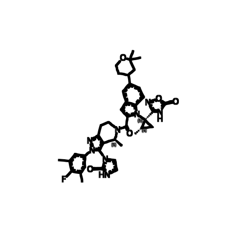 Cc1cc(-n2nc3c(c2-n2cc[nH]c2=O)[C@H](C)N(C(=O)c2cc4cc(C5CCOC(C)(C)C5)ccc4n2[C@@]2(c4noc(=O)[nH]4)C[C@@H]2C)CC3)cc(C)c1F